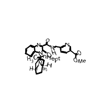 CCCCCCCC(C)N1[C@@H]2CC[C@H]1C[C@@H](n1c(=O)c(C(=O)NCc3ccc(C(=O)OC)cn3)nc3ccccc31)C2